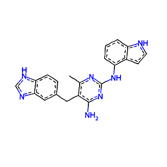 Cc1nc(Nc2cccc3[nH]ccc23)nc(N)c1Cc1ccc2[nH]cnc2c1